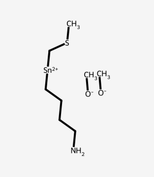 CS[CH2][Sn+2][CH2]CCCN.C[O-].C[O-]